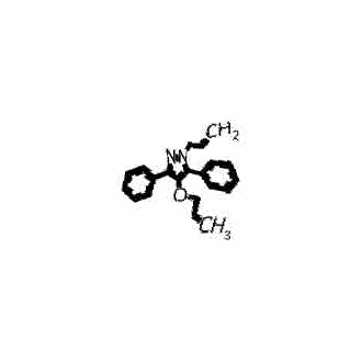 C=CCn1nc(-c2ccccc2)c(OCCC)c1-c1ccccc1